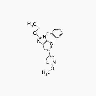 CCOc1nc2cc(-c3ccc(OC)nc3)cnc2n1Cc1ccccc1